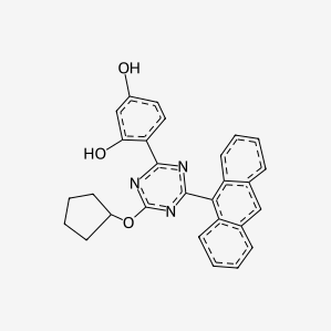 Oc1ccc(-c2nc(OC3CCCC3)nc(-c3c4ccccc4cc4ccccc34)n2)c(O)c1